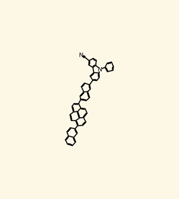 N#Cc1ccc2c(c1)c1cc(-c3ccc4cc(-c5ccc6ccc7c(-c8ccc9ccccc9c8)ccc8ccc5c6c87)ccc4c3)ccc1n2-c1ccccc1